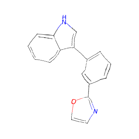 c1cc(-c2ncco2)cc(-c2c[nH]c3ccccc23)c1